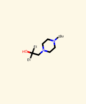 CCC(O)(CC)CN1CCN(C(C)(C)C)CC1